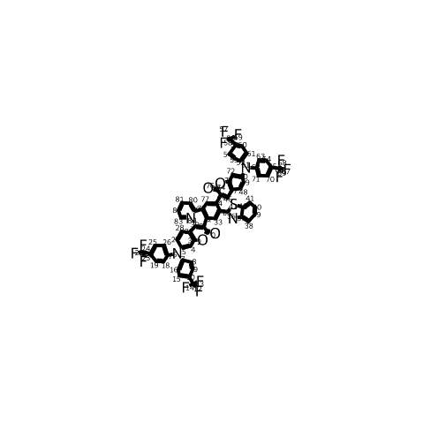 O=c1oc2cc(N(c3ccc(C(F)(F)F)cc3)c3ccc(C(F)(F)F)cc3)ccc2cc1-c1cc(-c2nc3ccccc3s2)c(-c2cc3ccc(N(c4ccc(C(F)(F)F)cc4)c4ccc(C(F)(F)F)cc4)cc3oc2=O)cc1-c1ccccn1